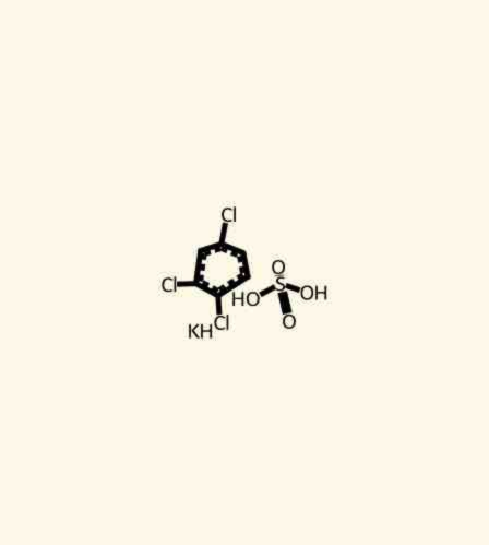 Clc1ccc(Cl)c(Cl)c1.O=S(=O)(O)O.[KH]